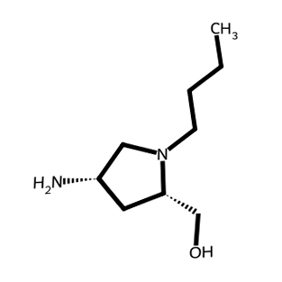 CCCCN1C[C@@H](N)C[C@H]1CO